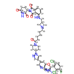 CC(Oc1cc(-c2cnn(C3CCN(C(=O)CCCCCN4CC(CNc5cccc6c5C(=O)N(C5CCC(=O)NC5=O)C6=O)C4)CC3)c2)cnc1N)c1c(Cl)ccc(F)c1Cl